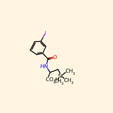 C[Si](C)(C)CC(NC(=O)c1cccc(I)c1)C(=O)O